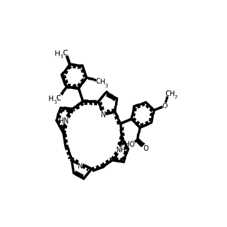 COc1ccc(-c2c3nc(c(-c4c(C)cc(C)cc4C)c4ccc(cc5nc(cc6ccc2[nH]6)C=C5)[nH]4)C=C3)c(C(=O)O)c1